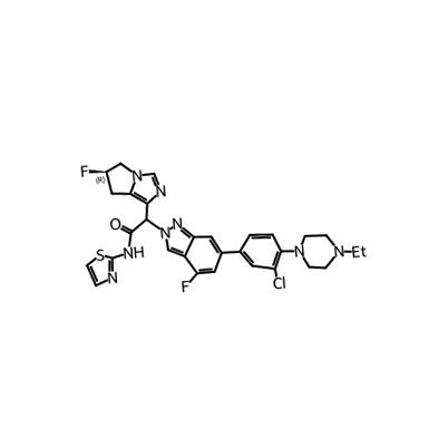 CCN1CCN(c2ccc(-c3cc(F)c4cn(C(C(=O)Nc5nccs5)c5ncn6c5C[C@@H](F)C6)nc4c3)cc2Cl)CC1